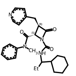 CCC(NC(=O)N1C(=O)[C@H](Cc2ccncc2)[C@H]1C(=O)N(C)c1ccccc1)C1CCCCC1